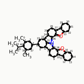 Cc1cc(-c2cc3c4ccc5c6ccccc6oc5c4n4c3c(c2)c2ccc3c5ccccc5oc3c24)cc(C)c1C(C)C